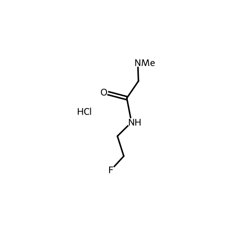 CNCC(=O)NCCF.Cl